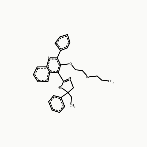 CCCNCCOc1c(-c2ccccc2)nc2ccccc2c1C1=NCC(CC)(c2ccccc2)N1